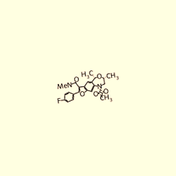 CNC(=O)c1c(-c2ccc(F)cc2)oc2cc3c(cc12)[C@H](C)O[C@H](C)CN3S(C)(=O)=O